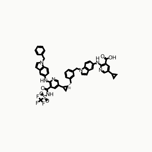 O=C(O)c1cc(C2CC2)cnc1Nc1ccc2c(ccn2Cc2cccc(C[C@@H]3CC3c3cnc(Nc4ccc5c(ccn5Cc5ccccc5)c4)c(C(=O)NS(=O)(=O)C(F)(F)F)c3)c2)c1